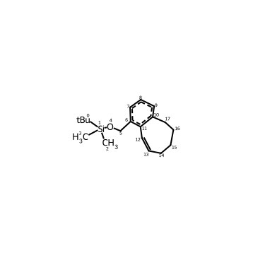 CC(C)(C)[Si](C)(C)OCc1cccc2c1C=CCCCC2